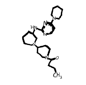 CCCC(=O)N1CCC(N2CCCCC(Nc3nccc(N4CCCCCC4)n3)C2)CC1